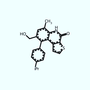 Cc1cc(CO)c(-c2ccc(C(C)C)cc2)c2c1[nH]c(=O)c1sccc12